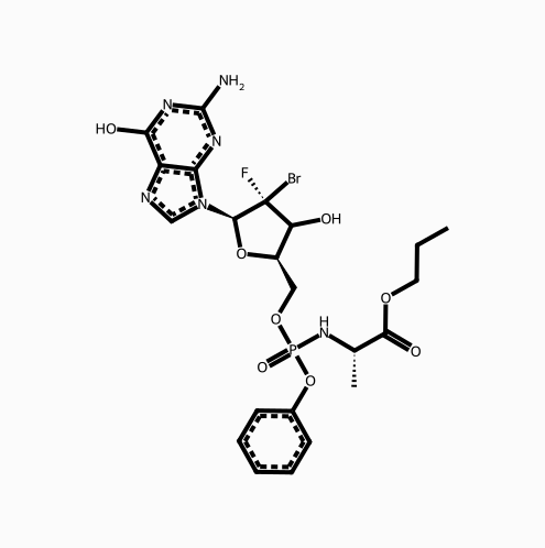 CCCOC(=O)[C@H](C)NP(=O)(OC[C@H]1O[C@@H](n2cnc3c(O)nc(N)nc32)[C@@](F)(Br)C1O)Oc1ccccc1